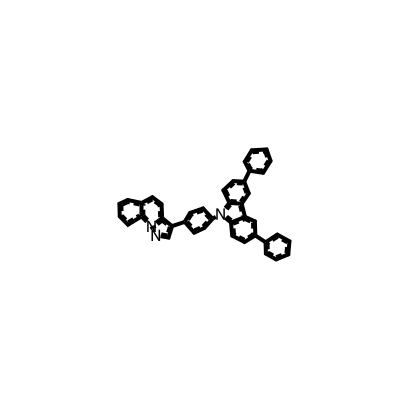 c1ccc(-c2ccc3c(c2)c2cc(-c4ccccc4)ccc2n3-c2ccc(-c3cnn4c3ccc3ccccc34)cc2)cc1